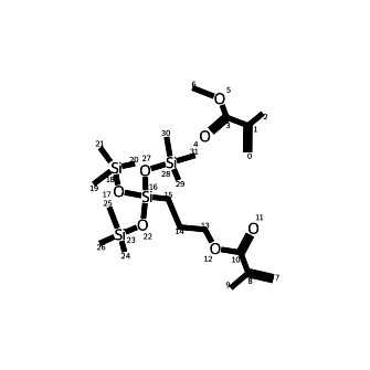 C=C(C)C(=O)OC.C=C(C)C(=O)OCCC[Si](O[Si](C)(C)C)(O[Si](C)(C)C)O[Si](C)(C)C